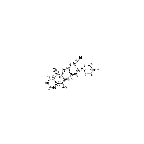 CN1CCN(c2cc3nc4c(nc3cc2C#N)C(=O)c2cccnc2C4=O)CC1